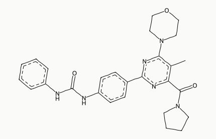 Cc1c(C(=O)N2CCCC2)nc(-c2ccc(NC(=O)Nc3ccccc3)cc2)nc1N1CCOCC1